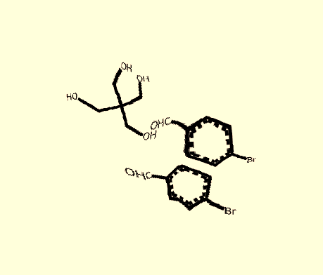 O=Cc1ccc(Br)cc1.O=Cc1ccc(Br)cc1.OCC(CO)(CO)CO